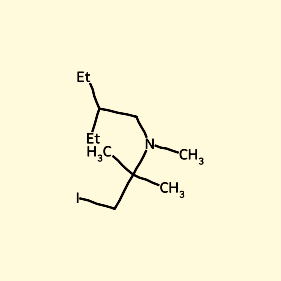 CCC(CC)CN(C)C(C)(C)CI